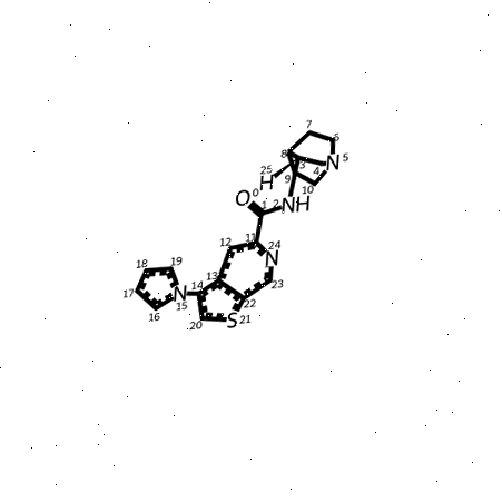 O=C(N[C@H]1CN2CCC1CC2)c1cc2c(-n3cccc3)csc2cn1